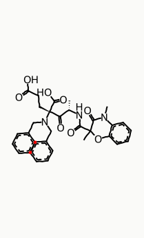 C[C@H](NC(=O)C1(C)Oc2ccccc2N(C)C1=O)C(=O)[C@@](CCC(=O)O)(C(=O)O)N(Cc1ccccc1)Cc1ccccc1